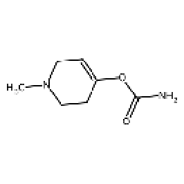 CN1CC=C(OC(N)=O)CC1